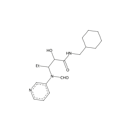 CCC(C(O)C(=O)NCC1CCCCC1)N(C=O)c1cccnc1